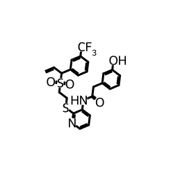 C=CC(c1cccc(C(F)(F)F)c1)S(=O)(=O)CCSc1ncccc1NC(=O)Cc1cccc(O)c1